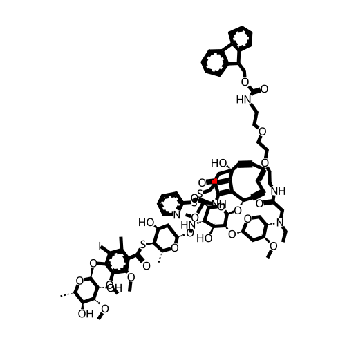 CCN(CC(=O)NCCOCCOCCNC(=O)OCC1c2ccccc2-c2ccccc21)[C@H]1CO[C@@H](O[C@H]2[C@H](O[C@H]3C#C/C=C/C#C[C@]4(O)CC(=O)C(NC(=O)OC)=C3/C4=C\CSSc3ccccn3)O[C@H](C)[C@@H](NO[C@H]3C[C@H](O)[C@H](SC(=O)c4c(C)c(I)c(O[C@@H]5O[C@@H](C)[C@H](O)[C@@H](OC)[C@H]5O)c(OC)c4OC)[C@@H](C)O3)[C@@H]2O)C[C@@H]1OC